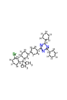 CC1(C)c2cc(-c3ccc(-c4nc(-c5ccccc5)nc(-c5ccccc5)n4)cc3)ccc2-c2c(Br)cccc21